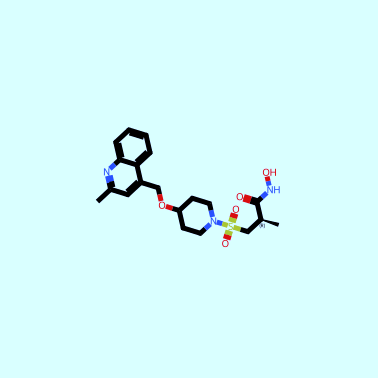 Cc1cc(COC2CCN(S(=O)(=O)C[C@H](C)C(=O)NO)CC2)c2ccccc2n1